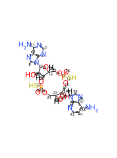 Nc1ncnc2c1ncn2[C@@H]1O[C@@H]2CO[P@@](=O)(S)O[C@@H]3C(O)[C@@H](CO[P@@](=O)(S)O[C@H]2[C@H]1O)O[C@H]3n1cnc2c(N)ccnc21